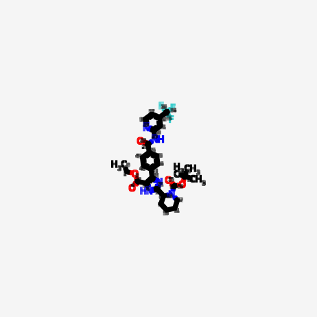 CCOC(=O)c1[nH]c(C2CCCCN2C(=O)OC(C)(C)C)nc1-c1ccc(C(=O)Nc2cc(C(F)(F)F)ccn2)cc1